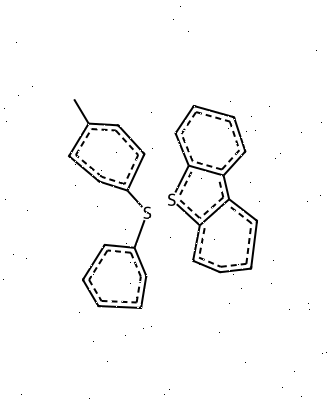 Cc1ccc(Sc2ccccc2)cc1.c1ccc2c(c1)sc1ccccc12